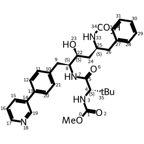 COC(=O)N[C@H](C(=O)N[C@@H](Cc1ccc(-c2cccnc2)cc1)[C@@H](O)C[C@H](Cc1ccccc1)NC(=O)O)C(C)(C)C